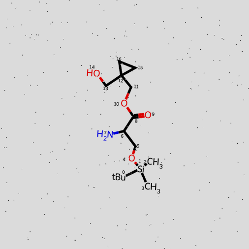 CC(C)(C)[Si](C)(C)OCC(N)C(=O)OCC1(CO)CC1